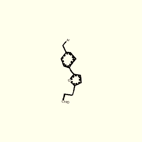 CC(=O)Cc1ccc(-c2ccc(CCC=O)o2)cc1